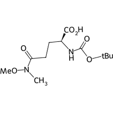 CON(C)C(=O)CC[C@H](NC(=O)OC(C)(C)C)C(=O)O